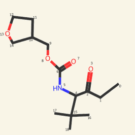 CCC(=O)C(NC(=O)OCC1CCOC1)C(C)(C)C